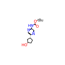 CC(C)(C)OC(=O)Nc1cnc([C@@H]2CC[C@@H](O)C2)cn1